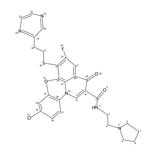 O=C(NCCN1CCCC1)c1cn2c3c(c(SCCc4cnccn4)c(F)cc3c1=O)Oc1cc(Cl)ccc1-2